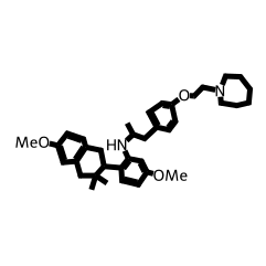 COc1ccc2c(c1)CC(C)(C)C(c1ccc(OC)cc1NC(C)Cc1ccc(OCCN3CCCCCC3)cc1)C2